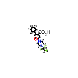 O=C(O)[C@@H](CC(=O)N1CCN(C(F)(F)CF)CC1)Cc1ccccc1